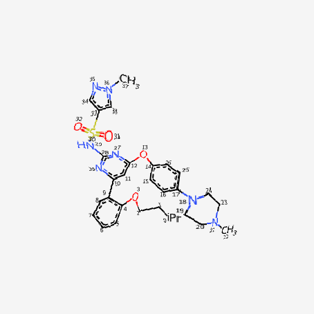 CC(C)CCOc1ccccc1-c1cc(Oc2ccc(N3CCN(C)CC3)cc2)nc(NS(=O)(=O)c2cnn(C)c2)n1